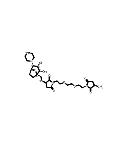 CC1CC(=O)N(CCOCCOCCN2C(=O)CC(NC[C@@]34CCC(O3)[C@H](N3CCNCC3)[C@@H](O)[C@H]4O)C2=O)C1=O